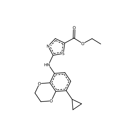 CCOC(=O)c1cnc(Nc2ccc(C3CC3)c3c2OCCO3)s1